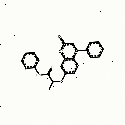 CC(Oc1ccc2c(-c3ccccc3)cc(=O)oc2c1)C(=O)Nc1ccccn1